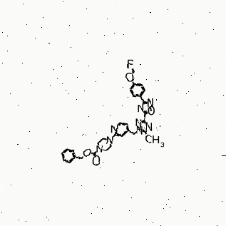 Cc1nc(-c2nc(-c3ccc(OCF)cc3)no2)nn1Cc1ccnc(N2CCN(C(=O)OCc3ccccc3)CC2)c1